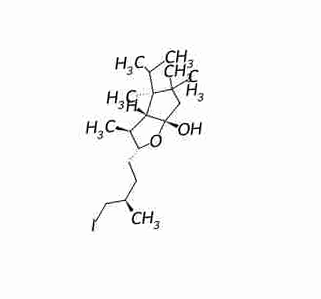 CC(C)[C@]1(C)[C@H]2[C@H](C)[C@@H](CC[C@@H](C)CI)O[C@@]2(O)CC1(C)C